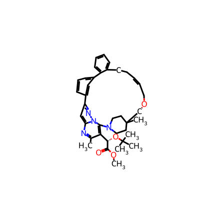 COC(=O)[C@@H](OC(C)(C)C)c1c(C)nc2cc3nn2c1N1CCC(C)(CC1)COCC=CCCc1ccccc1-c1cccc-3c1